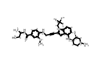 COc1cc(C(=O)NC(C)CO)ccc1NCC#Cc1cc2c(N[C@@H]3CCN(C)C[C@@H]3F)cccc2n1CC(F)(F)F